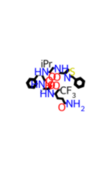 CC(C)[C@H](NC(=O)c1csc(-c2ccccc2)n1)C(=O)N[C@@H](Cc1ccccc1)C(=O)N[C@@H](C)C(=O)NC(CCC(N)=O)C(O)C(F)(F)F